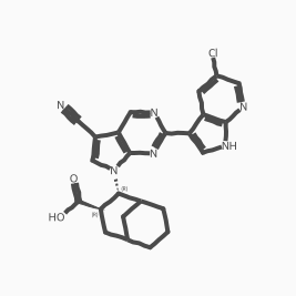 N#Cc1cn([C@@H]2C3CCCC(C3)C[C@H]2C(=O)O)c2nc(-c3c[nH]c4ncc(Cl)cc34)ncc12